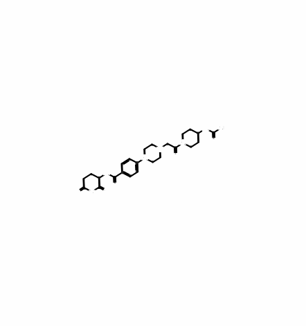 NC(=O)OC1CCN(C(=O)CN2CCN(c3ccc(C(=O)NC4CCC(=O)NC4=O)cc3)CC2)CC1